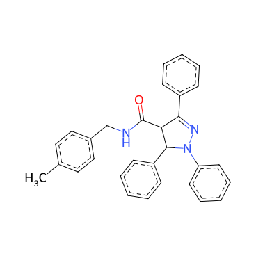 Cc1ccc(CNC(=O)C2C(c3ccccc3)=NN(c3ccccc3)C2c2ccccc2)cc1